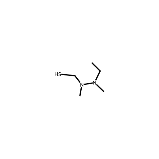 CCN(C)N(C)CS